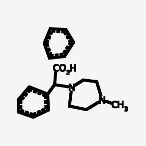 CN1CCN(C(C(=O)O)c2ccccc2)CC1.c1ccccc1